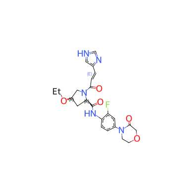 CCO[C@@H]1C[C@H](C(=O)Nc2ccc(N3CCOCC3=O)cc2F)N(C(=O)/C=C/c2c[nH]cn2)C1